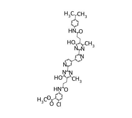 COC(=O)c1cc(NC(=O)CCc2c(C)nc(-c3cc(-c4ccnc(-c5nc(C)c(CCC(=O)Nc6ccc(C(C)C)cc6)c(O)n5)c4)ccn3)nc2O)ccc1Cl